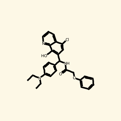 CCN(CC)c1ccc(C(NC(=O)COc2ccccc2)c2cc(Cl)c3cccnc3c2O)cc1